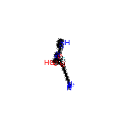 [N-]=[N+]=NCCCCCCCCCCCOc1ccc(C(CC(=O)O)N2CCN(CCCc3ccc4c(n3)NCCC4)C2=O)cc1F